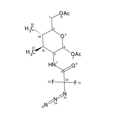 CC(=O)OCC1OC(OC(C)=O)C(NC(=O)C(F)(F)N=[N+]=[N-])[C@@H](C)[C@@H]1C